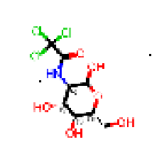 O=C(N[C@H]1C(O)O[C@H](CO)[C@@H](O)[C@@H]1O)C(Cl)(Cl)Cl